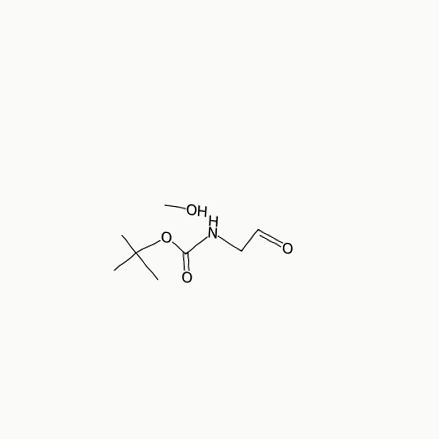 CC(C)(C)OC(=O)NCC=O.CO